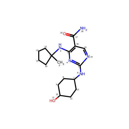 CC1(Nc2nc(NC3CCC(O)CC3)ncc2C(N)=O)CCCC1